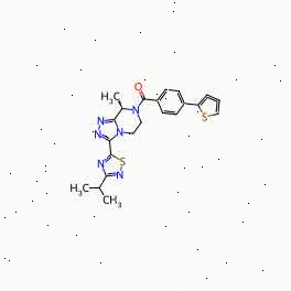 CC(C)c1nsc(-c2nnc3n2CCN(C(=O)c2ccc(C4=C=C=CS4)cc2)[C@@H]3C)n1